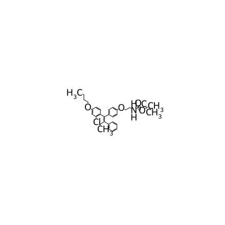 CCCCOc1ccc(/C(=C(\CC)c2ccccc2)c2ccc(OCCNC(=O)OC(C)(C)C)cc2)c(Cl)c1